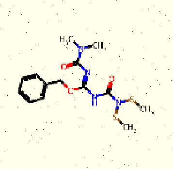 CSN(SC)C(=O)NC(=NC(=O)N(C)C)OCc1ccccc1